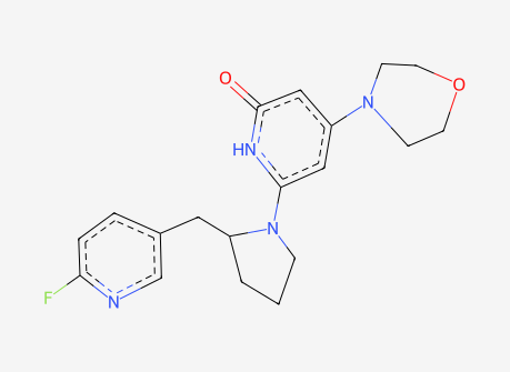 O=c1cc(N2CCOCC2)cc(N2CCCC2Cc2ccc(F)nc2)[nH]1